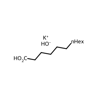 CCCCCCCCCCCC(=O)O.[K+].[OH-]